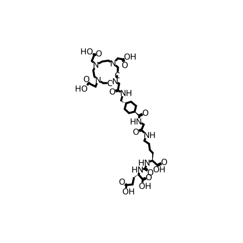 O=C(O)CC[C@H](NC(=O)N[C@@H](CCCCNC(=O)CNC(=O)[C@H]1CC[C@H](CNC(=O)CN2CCN(CC(=O)O)CCN(CC(=O)O)CCN(CC(=O)O)CC2)CC1)C(=O)O)C(=O)O